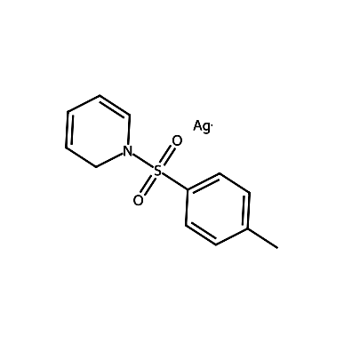 Cc1ccc(S(=O)(=O)N2C=CC=CC2)cc1.[Ag]